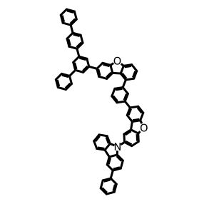 c1ccc(-c2ccc(-c3cc(-c4ccccc4)cc(-c4ccc5c(c4)oc4cccc(-c6cccc(-c7ccc8oc9ccc(-n%10c%11ccccc%11c%11cc(-c%12ccccc%12)ccc%11%10)cc9c8c7)c6)c45)c3)cc2)cc1